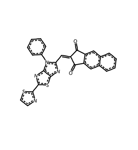 O=C1C(=Cc2nc3sc(-c4nccs4)nc3n2-c2ccccc2)C(=O)c2cc3ccccc3cc21